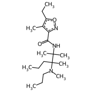 CCCN(C)C(C)(CCC)C(C)(C)NC(=O)c1noc(CC)c1C